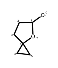 [O]C1CCC2(CC2)O1